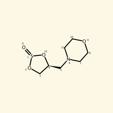 O=S1OC[C@H](CN2CCOCC2)O1